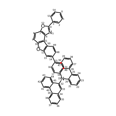 c1ccc(-c2nc3c(ccc4oc5cc(-c6ccc(N(c7ccccc7-c7ccccc7)c7cc8ccccc8c8ccccc78)cc6)ccc5c43)o2)cc1